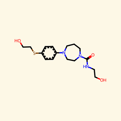 O=C(NCCO)N1CCCN(c2ccc(SCCO)cc2)CC1